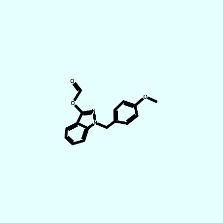 COc1ccc(Cn2nc(OC=O)c3ccccc32)cc1